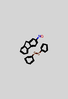 O=Nc1ccc2c(c1)Cc1ccccc1-2.c1ccc(SSc2ccccc2)cc1